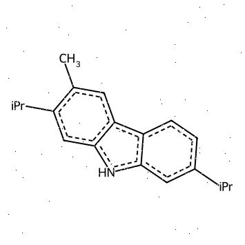 Cc1cc2c(cc1C(C)C)[nH]c1cc(C(C)C)ccc12